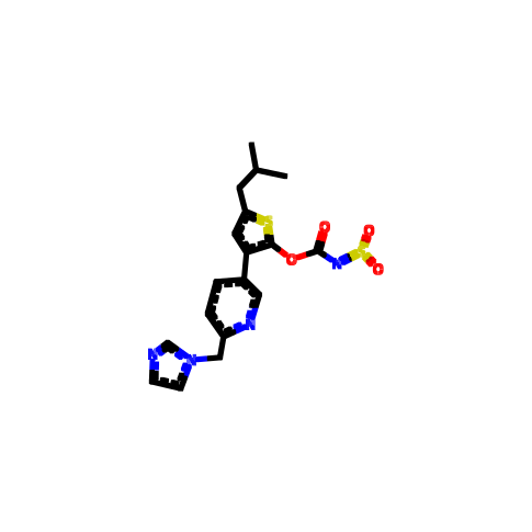 CC(C)Cc1cc(-c2ccc(Cn3ccnc3)nc2)c(OC(=O)N=S(=O)=O)s1